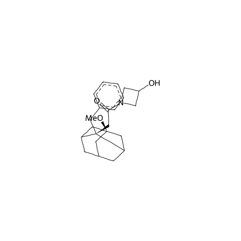 CO[C@]12CC3CC(C1)[C@@](CC(=O)N1CC(O)C1)(Cc1ccccc1)C(C3)C2